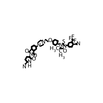 CC1(C)C(=O)N(c2ccc(C#N)c(C(F)(F)F)c2)C(=S)N1c1ccc(OCCN2CCN(c3ccc4c(c3)C(=O)N(c3ccc(C#N)[nH]c3=O)C4=O)CC2)cc1